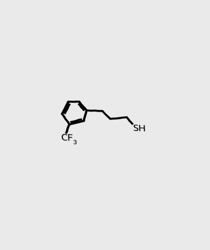 FC(F)(F)c1cccc(CCCS)c1